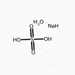 O.O=S(=O)(O)O.[NaH]